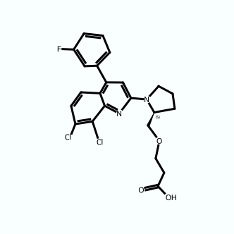 O=C(O)CCOC[C@@H]1CCCN1c1cc(-c2cccc(F)c2)c2ccc(Cl)c(Cl)c2n1